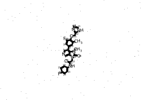 Cc1cc(-c2cncc3c2n(C)c(=O)n3CC(=O)Nc2ccc(F)cc2)cc(F)c1OCc1nnc[nH]1